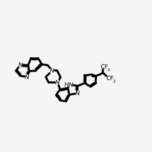 FC(F)(F)C(c1ccc(-c2nc3cccc(N4CCN(Cc5ccc6nccnc6c5)CC4)c3[nH]2)cc1)C(F)(F)F